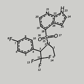 CCN(C(c1ccc(F)cc1)C(F)(F)F)S(=O)(=O)c1ccnc2[nH]ccc12